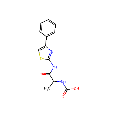 CC(NC(=O)O)C(=O)Nc1nc(-c2ccccc2)cs1